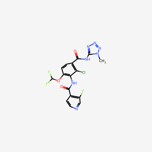 Cn1nnnc1NC(=O)c1ccc(OC(F)F)c(NC(=O)c2ccncc2F)c1Cl